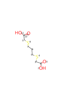 O=C(O)CSCCCSCC(=O)O